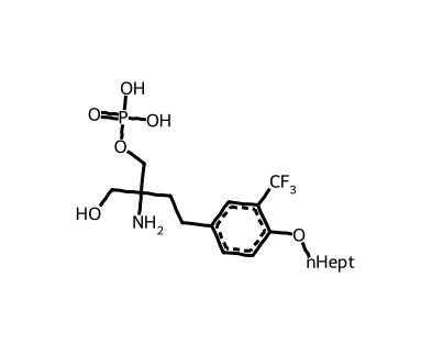 CCCCCCCOc1ccc(CCC(N)(CO)COP(=O)(O)O)cc1C(F)(F)F